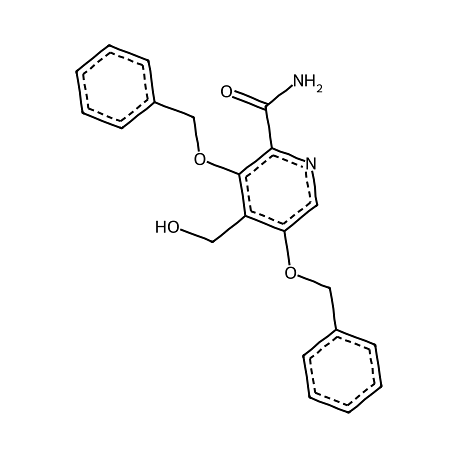 NC(=O)c1ncc(OCc2ccccc2)c(CO)c1OCc1ccccc1